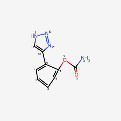 NC(=O)Oc1ccccc1-c1c[nH]nn1